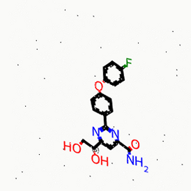 NC(=O)c1cc([C@H](O)CO)nc(-c2ccc(Oc3ccc(F)cc3)cc2)n1